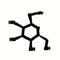 CCCO[C@H]1O[C@H](CO)[C@@H](O)[C@@H](O)[C@H]1O